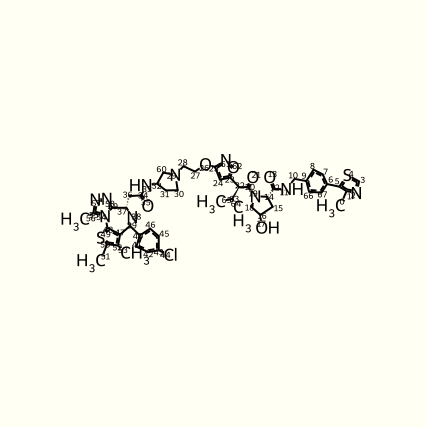 Cc1ncsc1-c1ccc(CNC(=O)[C@@H]2C[C@@H](O)CN2C(=O)[C@H](c2cc(OCCN3CC[C@@H](NC(=O)C[C@@H]4N=C(c5ccc(Cl)cc5)c5c(sc(C)c5C)-n5c(C)nnc54)C3)no2)C(C)C)cc1